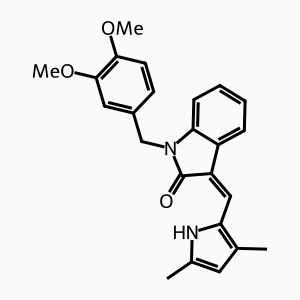 COc1ccc(CN2C(=O)/C(=C\c3[nH]c(C)cc3C)c3ccccc32)cc1OC